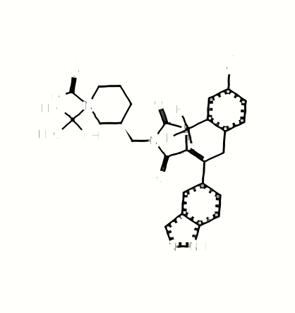 CC(C)(C)[N+]1(C(=O)[O-])CCC[C@@H](CN2C(=O)SC(=C(Cc3ccc(Cl)cc3C(F)(F)F)c3ccc4[nH]ncc4c3)C2=O)C1